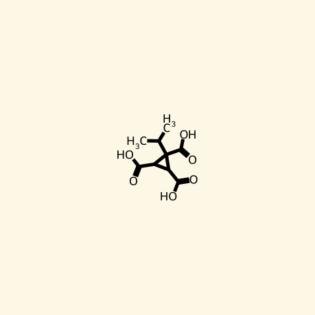 CC(C)C1(C(=O)O)C(C(=O)O)C1C(=O)O